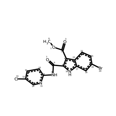 COC(=O)c1c(C(=O)Nc2ccc(Cl)cn2)[nH]c2cc(Br)ccc12